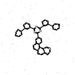 c1ccc(-c2cccc(-c3nc(-c4cccc(-c5ccccc5)c4)nc(-c4ccc5c(ccc6ccc7ccncc7c65)c4)n3)c2)cc1